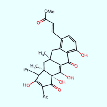 COC(=O)/C=C/c1ccc(O)c2c1C[C@]1(C)C[C@]3(C)C(C(C)C)C(O)=C(C(C)=O)C(=O)[C@]3(O)C(O)=C1C2=O